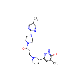 O=C(CCN1CCCC(c2cc(C(F)(F)F)c(=O)[nH]n2)C1)N1CCN(c2ncc(C(F)(F)F)cn2)CC1